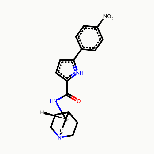 O=C(N[C@H]1CN2CCC1CC2)c1ccc(-c2ccc([N+](=O)[O-])cc2)[nH]1